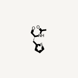 CC(=O)N[C@@H](C=O)Cc1cccs1